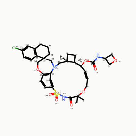 CC1(C)OCC=C[C@H](OC(=O)NC2COC2)[C@@H]2CC[C@H]2CN2C[C@@]3(CCCc4cc(Cl)ccc43)COc3ccc(cc32)S(=O)(=O)NC1=O